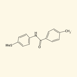 [CH2]c1ccc(C(=O)Nc2ccc(SC)cc2)cc1